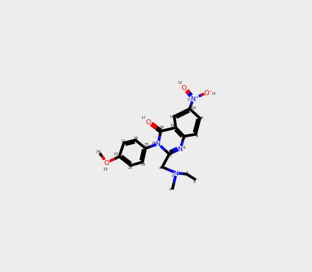 [CH2]CN(C)Cc1nc2ccc([N+](=O)[O-])cc2c(=O)n1-c1ccc(OC)cc1